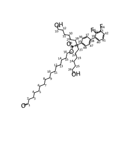 O=CCCCCCCCCCCCCCCCOC(=O)C(CCCCCCO)(CCCCCCO)c1ccc(-c2cccc(F)c2F)cc1